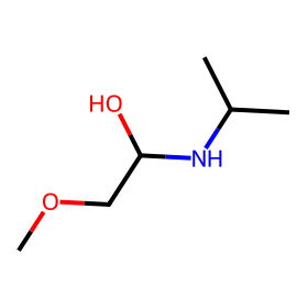 COCC(O)NC(C)C